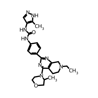 CCN1CCc2c(nc(-c3ccc(NC(=O)Nc4cn[nH]c4C)cc3)nc2N2CCOCC2C)C1